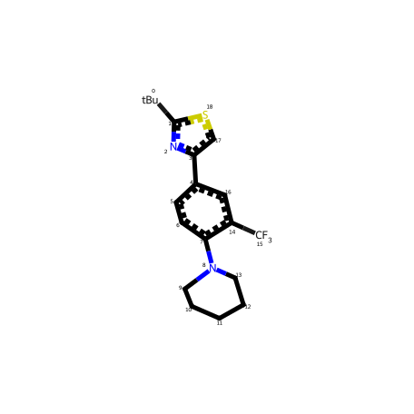 CC(C)(C)c1nc(-c2ccc(N3CCCCC3)c(C(F)(F)F)c2)cs1